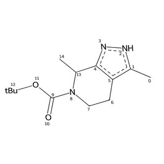 Cc1[nH]nc2c1CCN(C(=O)OC(C)(C)C)C2C